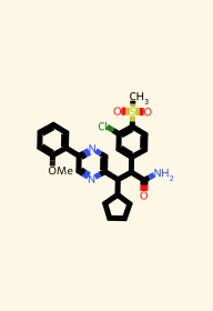 COc1ccccc1-c1cnc(C(C2CCCC2)C(C(N)=O)c2ccc(S(C)(=O)=O)c(Cl)c2)cn1